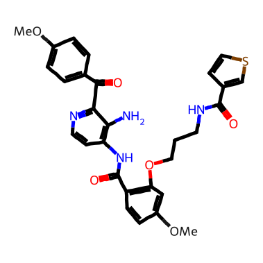 COc1ccc(C(=O)c2nccc(NC(=O)c3ccc(OC)cc3OCCCNC(=O)c3ccsc3)c2N)cc1